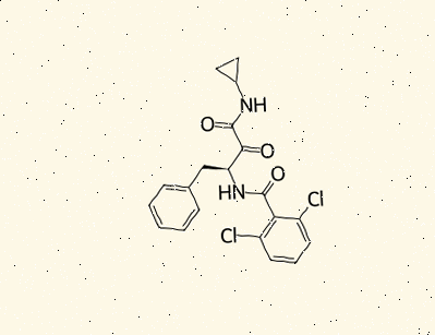 O=C(NC1CC1)C(=O)[C@H](Cc1ccccc1)NC(=O)c1c(Cl)cccc1Cl